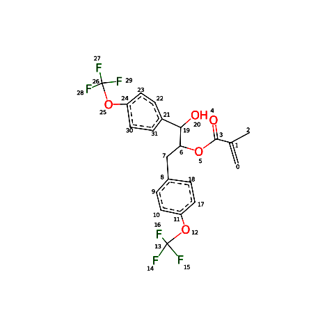 C=C(C)C(=O)OC(Cc1ccc(OC(F)(F)F)cc1)C(O)c1ccc(OC(F)(F)F)cc1